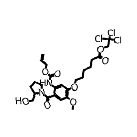 C=CCOC(=O)Nc1cc(OCCCCCC(=O)OCC(Cl)(Cl)Cl)c(OC)cc1C(=O)N1CCCC1CO